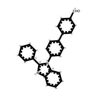 O=Cc1ccc(-c2ccc(-n3c(-c4ccccc4)nc4ccccc43)cc2)cc1